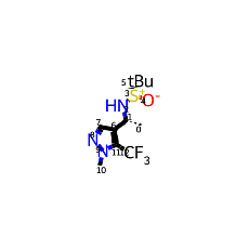 C[C@@H](N[S@+]([O-])C(C)(C)C)c1cnn(C)c1C(F)(F)F